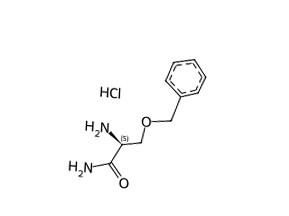 Cl.NC(=O)[C@@H](N)COCc1ccccc1